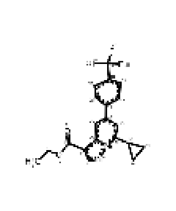 CCOC(=O)c1cnn2c(C3CC3)cc(-c3ccc(C(F)(F)F)cc3)cc12